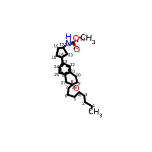 CCCCC1CCCC2(CCc3cc(C4CCC(NC(=O)OC)C4)ccc3C2)O1